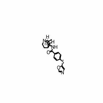 C[C@H]1[C@H](NC(=O)c2ccc(Sc3cnco3)cc2)C2CCN1CC2